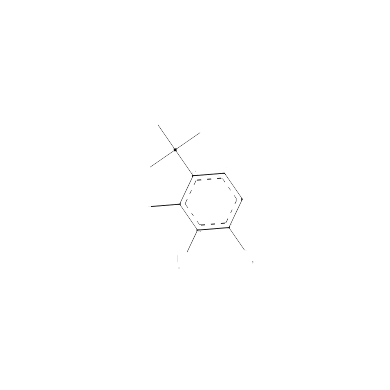 CC(C)(C)c1ccc(I)c(O)c1I